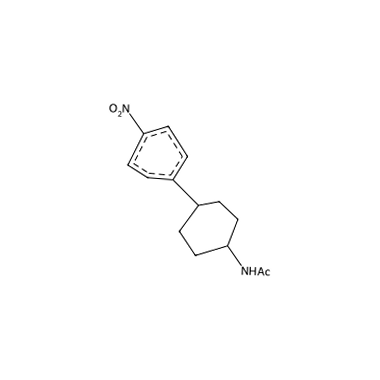 CC(=O)NC1CCC(c2ccc([N+](=O)[O-])cc2)CC1